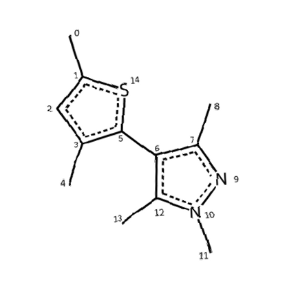 Cc1cc(C)c(-c2c(C)nn(C)c2C)s1